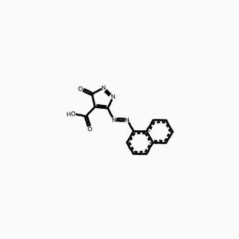 O=C(O)C1=C(N=Nc2cccc3ccccc23)N=NC1=O